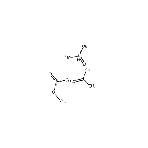 CC(=O)O.NO[PH](=O)O.O=[PH](O)O